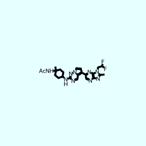 CC(=O)NC1(C)CCC(Nc2ncc3c(-c4cnc5nc(C)n(CC(F)F)c5n4)ccn3n2)CC1